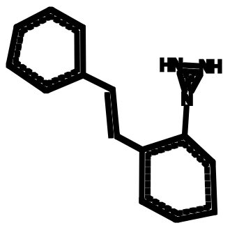 C(=Cc1ccccc1-n1[nH][nH]1)c1ccccc1